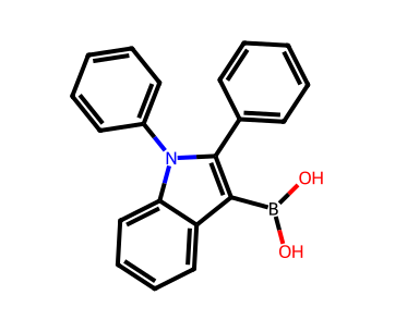 OB(O)c1c(-c2ccccc2)n(-c2ccccc2)c2ccccc12